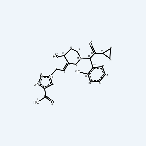 O=C(O)c1cn(CC=C2CN(C(C(=O)C3CC3)c3ccccc3F)CCC2S)nn1